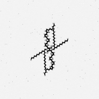 CCCCCCCCCCCCC(CCCCCCCCCC)CN1C(=O)C2=C(c3ccc(-c4ccc(-c5ccc(-c6ccc(CCCCCC)s6)s5)s4)s3)N(CC(CCCCCCCCCC)CCCCCCCCCCCC)C(O)C2=C1c1ccc(-c2ccc(-c3ccc(-c4ccc(CCCCCC)s4)s3)s2)s1